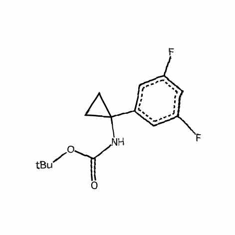 CC(C)(C)OC(=O)NC1(c2cc(F)cc(F)c2)CC1